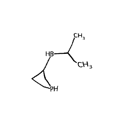 CC(C)BC1CP1